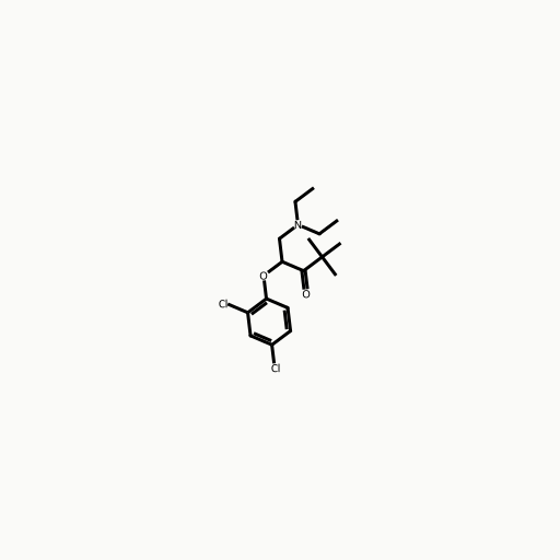 CCN(CC)CC(Oc1ccc(Cl)cc1Cl)C(=O)C(C)(C)C